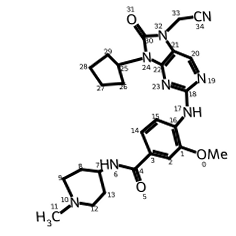 COc1cc(C(=O)NC2CCN(C)CC2)ccc1Nc1ncc2c(n1)n(C1CCCC1)c(=O)n2CC#N